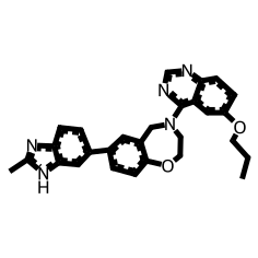 CCCOc1ccc2ncnc(N3CCOc4ccc(-c5ccc6nc(C)[nH]c6c5)cc4C3)c2c1